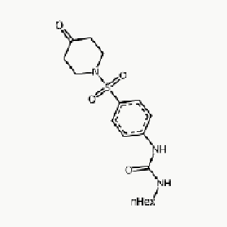 CCCCCCNC(=O)Nc1ccc(S(=O)(=O)N2CCC(=O)CC2)cc1